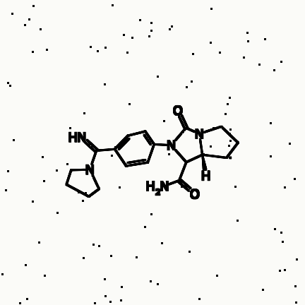 N=C(c1ccc(N2C(=O)N3CC[CH][C@@H]3C2C(N)=O)cc1)N1CCCC1